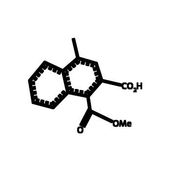 COC(=O)c1c(C(=O)O)cc(C)c2ccccc12